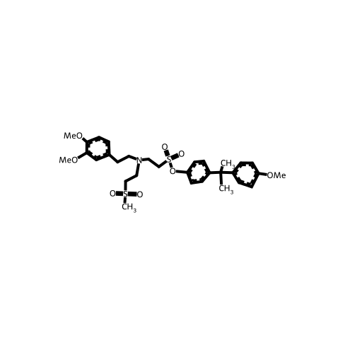 COc1ccc(C(C)(C)c2ccc(OS(=O)(=O)CCN(CCc3ccc(OC)c(OC)c3)CCS(C)(=O)=O)cc2)cc1